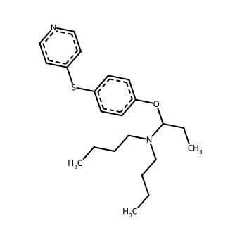 CCCCN(CCCC)C(CC)Oc1ccc(Sc2ccncc2)cc1